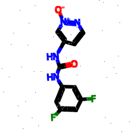 O=C(Nc1cc(F)cc(F)c1)Nc1ccn[n+]([O-])c1